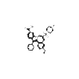 COc1ccc2c(c1)C=C(S(=O)(=O)N1CCN(C)CC1)Cn1c-2c(C2CCCCC2)c2ccc(C(=O)O)cc21